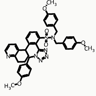 COc1ccc(CN(Cc2ccc(OC)cc2)S(=O)(=O)c2cccc(C3CCCc4ncccc43)c2-c2nnnn2Cc2ccc(OC)cc2)cc1